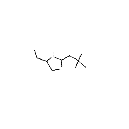 CC(C)(C)CC1NC(CO)CO1